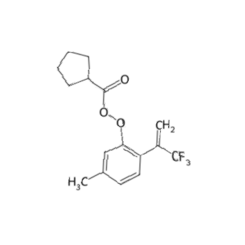 C=C(c1ccc(C)cc1OOC(=O)C1CCCC1)C(F)(F)F